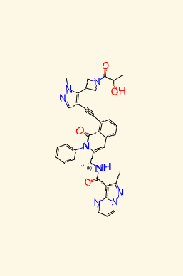 Cc1nn2cccnc2c1C(=O)N[C@H](C)c1cc2cccc(C#Cc3cnn(C)c3C3CN(C(=O)C(C)O)C3)c2c(=O)n1-c1ccccc1